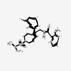 CN(C)S(=O)(=O)N1CCCC(CNC(=O)c2nccnc2N)(c2cccc(F)c2)CC1